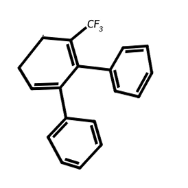 FC(F)(F)C1=C(c2ccccc2)C(c2ccccc2)=CC[CH]1